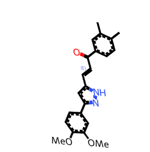 COc1ccc(-c2cc(/C=C/C(=O)c3ccc(C)c(C)c3)[nH]n2)cc1OC